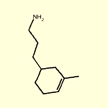 CC1=CCCC(CCCN)C1